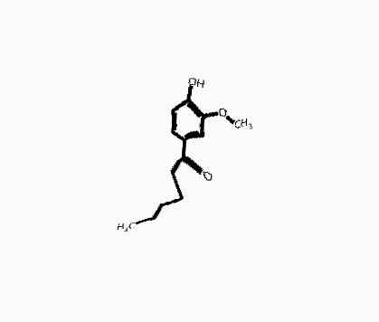 CCCCCC(=O)c1ccc(O)c(OC)c1